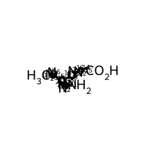 Cn1cc(-c2cc(-c3ccc(N4CC(CC(=O)O)C4)nc3)c3c(N)cnn3c2)cn1